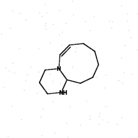 C1=CN2CCCNC2CCCCC1